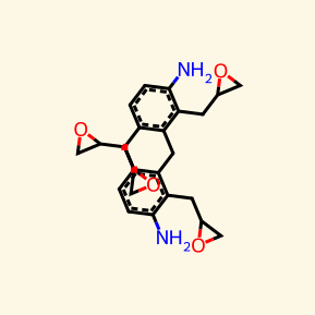 Nc1ccc(CC2CO2)c(Cc2c(CC3CO3)ccc(N)c2CC2CO2)c1CC1CO1